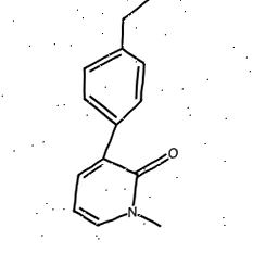 Cn1cccc(-c2ccc(CBr)cc2)c1=O